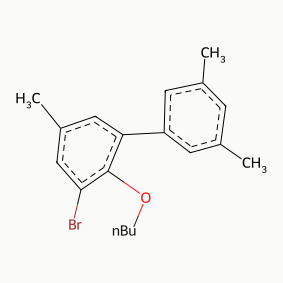 CCCCOc1c(Br)cc(C)cc1-c1cc(C)cc(C)c1